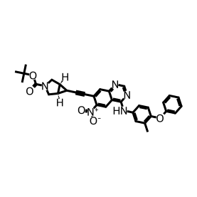 Cc1cc(Nc2ncnc3cc(C#CC4[C@H]5CN(C(=O)OC(C)(C)C)C[C@@H]45)c([N+](=O)[O-])cc23)ccc1Oc1ccccc1